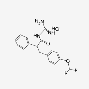 Cl.N=C(N)NC(=O)C(Cc1ccc(OC(F)F)cc1)c1ccccc1